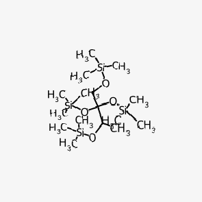 CC(O[Si](C)(C)C)C(CO[Si](C)(C)C)(O[Si](C)(C)C)O[Si](C)(C)C